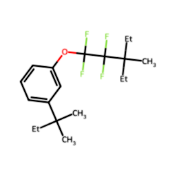 CCC(C)(C)c1cccc(OC(F)(F)C(F)(F)C(C)(CC)CC)c1